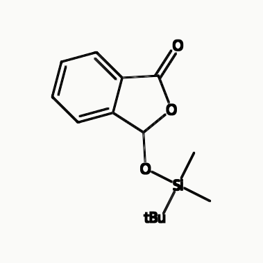 CC(C)(C)[Si](C)(C)OC1OC(=O)c2ccccc21